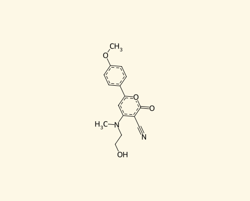 COc1ccc(-c2cc(N(C)CCO)c(C#N)c(=O)o2)cc1